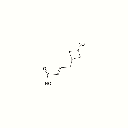 O=NC(=O)/C=C/CN1CC(N=O)C1